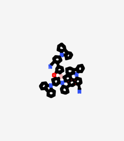 N#Cc1ccc(-n2c3ccccc3c3ccccc32)c(-c2ccc3c(c2)N(c2ccccc2-c2ccccc2)c2cc(-n4c5ccccc5c5ccccc54)cc4c2B3c2ccc(-c3cc(-n5c6ccccc6c6ccccc65)ccc3C#N)cc2O4)c1